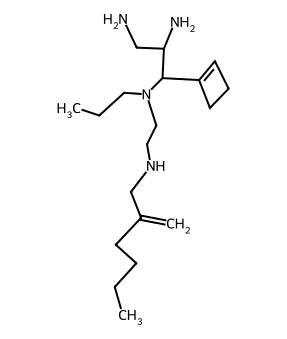 C=C(CCCC)CNCCN(CCC)C(C1=CCC1)C(N)CN